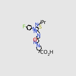 CC(C)c1nc2c(s1)c(CN1CC3(CC(N4CCC(C)(C(=O)O)CC4)=NO3)C1)nn2-c1ccc(F)cc1